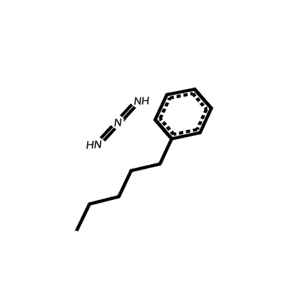 CCCCCc1ccccc1.N=[N+]=N